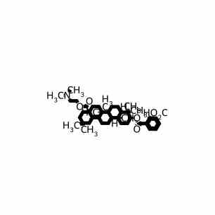 CN(C)CCOC(=O)[C@]12CCC(C)(C)CC1=C1CC[C@@H]3[C@@]4(C)CC[C@H](OC(=O)c5ccccc5C(=O)O)C(C)(C)[C@@H]4CC[C@@]3(C)[C@]1(C)CC2